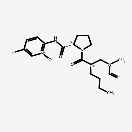 CCCC[C@H](CN(C)C=O)C(=O)N1CCC[C@H]1C(=O)Nc1ccc(F)c[n+]1[O-]